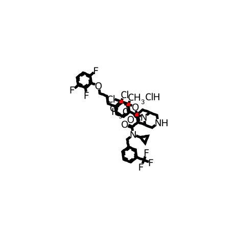 CC(C)(OC(=O)N1C2CNCC1C(C(=O)N(Cc1cccc(C(F)(F)F)c1)C1CC1)=C(c1ccc(CCCOc3c(F)ccc(F)c3F)cc1)C2)C(Cl)(Cl)Cl.Cl